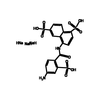 Nc1ccc(C(=O)Nc2ccc(S(=O)(=O)O)c3ccc(S(=O)(=O)O)cc23)c(S(=O)(=O)O)c1.[NaH].[NaH].[NaH]